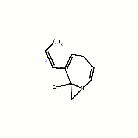 C/C=C\C1=CCC=CN2CC12CC